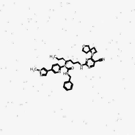 CCC[C@@H](CCCNc1ncc(C#N)c(N2CCC23CCOC3)n1)N(C(=O)NCc1ccccc1)c1ccc(-c2cnn(C)c2)cn1